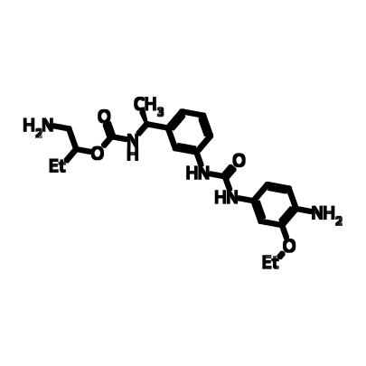 CCOc1cc(NC(=O)Nc2cccc([C@H](C)NC(=O)OC(CC)CN)c2)ccc1N